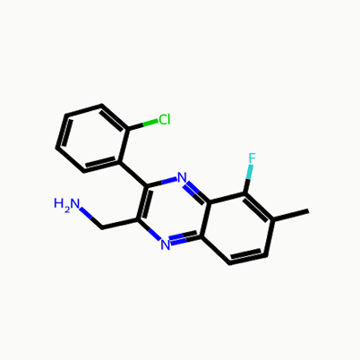 Cc1ccc2nc(CN)c(-c3ccccc3Cl)nc2c1F